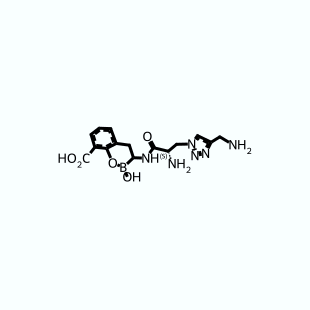 NCc1cn(C[C@H](N)C(=O)NC2Cc3cccc(C(=O)O)c3OB2O)nn1